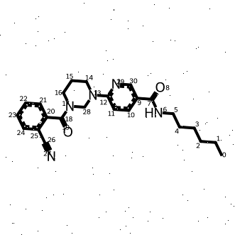 CCCCCCNC(=O)c1ccc(N2CCCN(C(=O)c3ccccc3C#N)C2)nc1